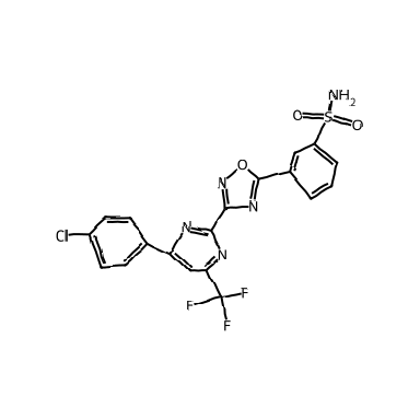 NS(=O)(=O)c1cccc(-c2nc(-c3nc(-c4ccc(Cl)cc4)cc(C(F)(F)F)n3)no2)c1